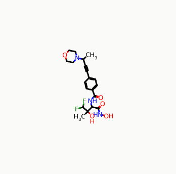 CC(C#Cc1ccc(C(=O)NC(C(=O)NO)C(C)(O)C(F)F)cc1)N1CCOCC1